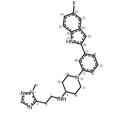 Cn1ncnc1CCNC1CCN(c2cccc(-c3cc4cc(F)ccc4[nH]3)c2)CC1